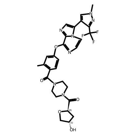 Cc1cc(Oc2nccn3c(-c4cn(C)nc4C(F)(F)F)cnc23)ccc1C(=O)N1CCN(C(=O)[C@H]2C[C@H](O)CO2)CC1